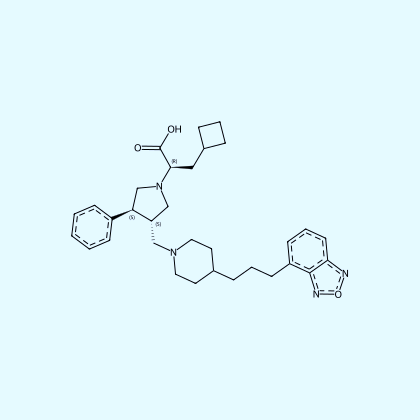 O=C(O)[C@@H](CC1CCC1)N1C[C@H](CN2CCC(CCCc3cccc4nonc34)CC2)[C@@H](c2ccccc2)C1